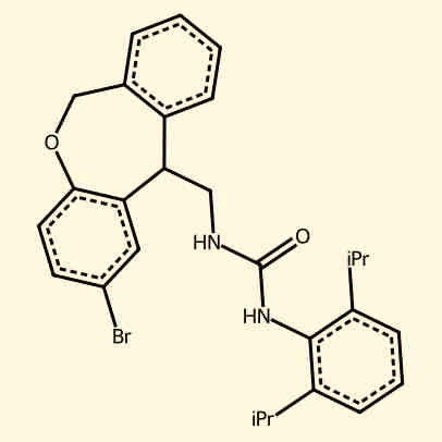 CC(C)c1cccc(C(C)C)c1NC(=O)NCC1c2ccccc2COc2ccc(Br)cc21